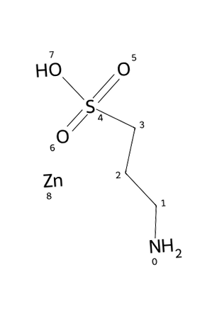 NCCCS(=O)(=O)O.[Zn]